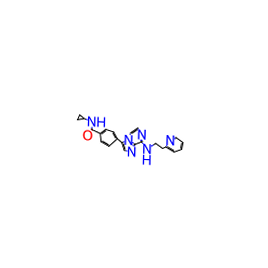 O=C(NC1CC1)c1ccc(-c2cnc3c(NCCc4ccccn4)nccn23)cc1